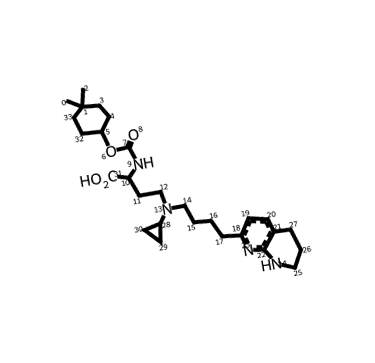 CC1(C)CCC(OC(=O)NC(CCN(CCCCc2ccc3c(n2)NCCC3)C2CC2)C(=O)O)CC1